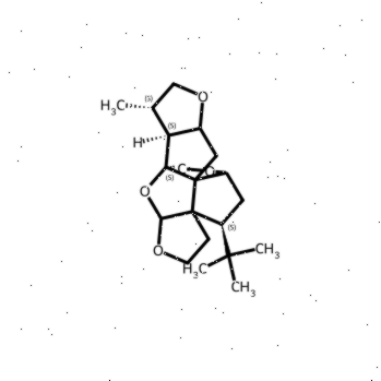 C[C@@H]1COC2CC34C5C[C@@H](C(C)(C)C)C36CCOC6O[C@@]4(CO5)[C@H]21